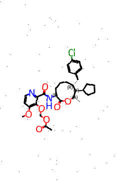 COc1ccnc(C(=O)N[C@H]2CCC[C@H](Cc3ccc(Cl)cc3)[C@@H](C3CCCC3)[C@H](C)OC2=O)c1OCOC(C)=O